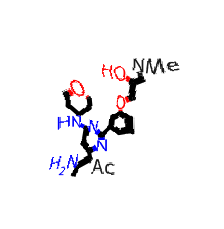 CNCC(O)COc1cccc(-c2nc(NC3CCOCC3)cc(/C(C(C)=O)=C(/C)N)n2)c1